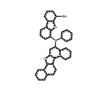 CC(C)(C)c1cccc2c1oc1c(N(c3ccccc3)c3cc4oc5c6ccccc6ccc5c4c4ccccc34)cccc12